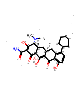 CN(C)[C@H]1C(O)=C(C(N)=O)C(=O)[C@]2(O)C(O)=C3C(=O)c4c(O)ccc(C5CCCCC5)c4C[C@@H]3C[C@H]12